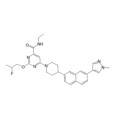 CCNC(=O)c1cc(N2CCC(c3ccc4ccc(-c5cnn(C)c5)cc4c3)CC2)nc(OCC(C)F)n1